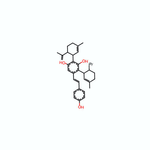 C=C(C)C1CCC(C)=CC1c1c(O)cc(/C=C/c2ccc(O)cc2)c(C2C=C(C)CCC2C(C)C)c1O